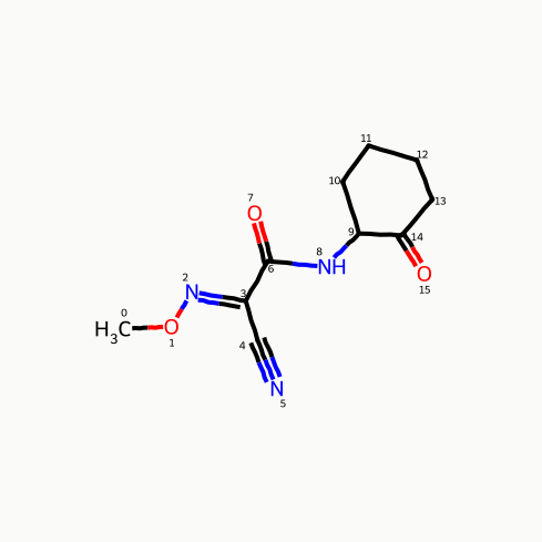 CO/N=C(\C#N)C(=O)NC1CCCCC1=O